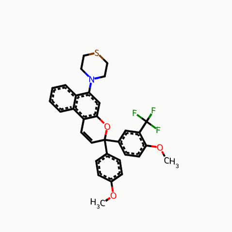 COc1ccc(C2(c3ccc(OC)c(C(F)(F)F)c3)C=Cc3c(cc(N4CCSCC4)c4ccccc34)O2)cc1